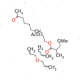 C=CC.C=CCOCC=C.CCCCCC(C)=O.COCC(C)C(=O)OCCOC(C)=O